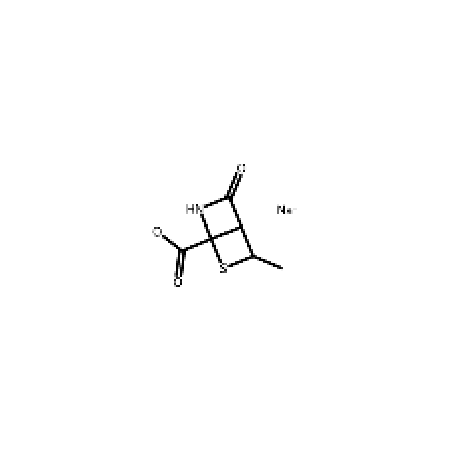 CC1SC2(C(=O)[O-])NC(=O)C12.[Na+]